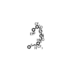 CCOc1cccc(-c2cc(C(=O)N3CCN(c4ccc(C(=O)NSc5ccc(NCCSc6ccccc6)c(C(F)(F)F)c5)nn4)CC3)cc(C(F)(F)F)c2)c1